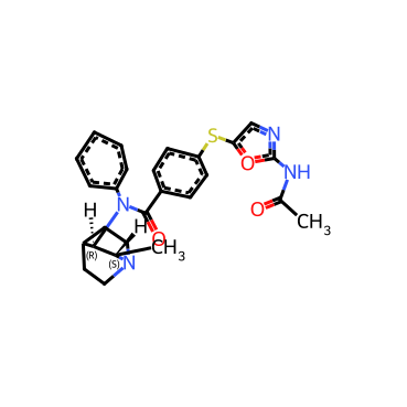 CC(=O)Nc1ncc(Sc2ccc(C(=O)N(c3ccccc3)[C@@H]3C4CCN(CC4)[C@H]3C)cc2)o1